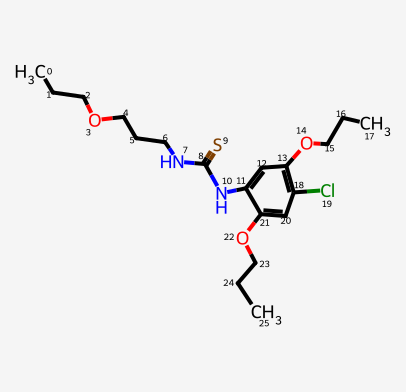 CCCOCCCNC(=S)Nc1cc(OCCC)c(Cl)cc1OCCC